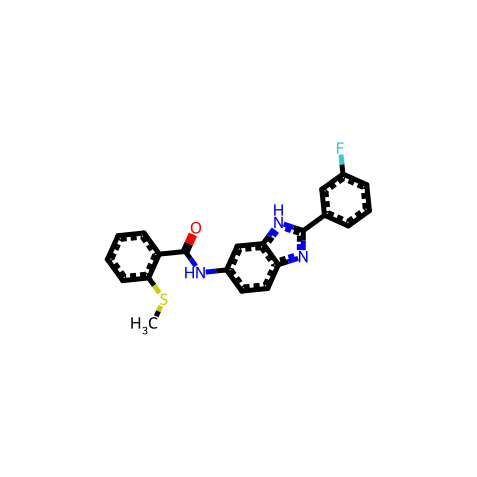 CSc1ccccc1C(=O)Nc1ccc2nc(-c3cccc(F)c3)[nH]c2c1